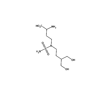 NC(CCN(CCC(CO)CO)S(N)(=O)=O)C(=O)O